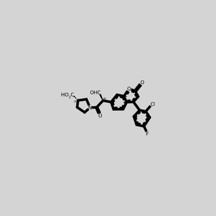 O=C[C@H](C(=O)N1CC[C@H](C(=O)O)C1)c1ccc2c(-c3ccc(F)cc3Cl)cc(=O)oc2c1